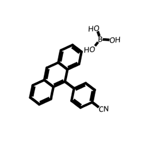 N#Cc1ccc(-c2c3ccccc3cc3ccccc23)cc1.OB(O)O